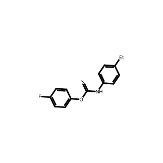 CCc1ccc(NC(=S)Oc2ccc(F)cc2)cc1